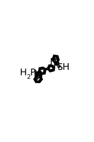 PN1B2C=CC=CN2c2cc(-c3ccc4c(c3)N3C=CC=CB3N4S)ccc21